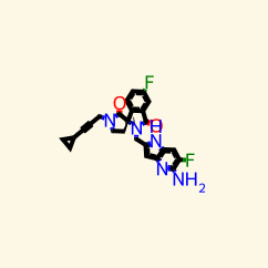 Nc1nc2cc(CN3C(=O)c4cc(F)ccc4[C@]34CCN(CC#CC3CC3)C4=O)[nH]c2cc1F